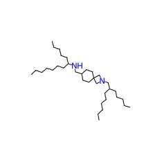 CCCCCCCC(CCCCC)NCC1CCC2(CC1)CN(CC(CCCCC)CCCCCC)C2